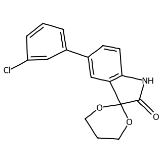 O=C1Nc2ccc(-c3cccc(Cl)c3)cc2C12OCCCO2